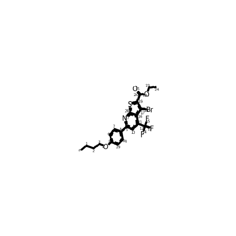 CCCCOc1ccc(-c2cc(C(F)(F)F)c3c(Br)c(C(=O)OCC)sc3n2)cc1